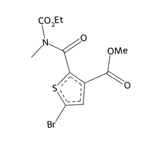 CCOC(=O)N(C)C(=O)c1sc(Br)cc1C(=O)OC